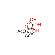 CC(=O)OC(C(C)=O)(C(C)=O)[C@H]1O[CH][C@H](O)[C@@H](O)[C@H]1O